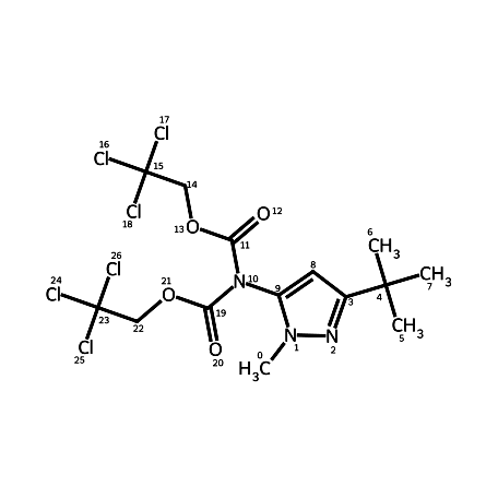 Cn1nc(C(C)(C)C)cc1N(C(=O)OCC(Cl)(Cl)Cl)C(=O)OCC(Cl)(Cl)Cl